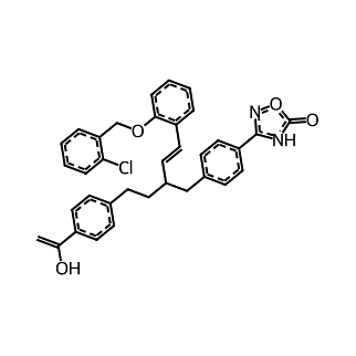 C=C(O)c1ccc(CCC(/C=C/c2ccccc2OCc2ccccc2Cl)Cc2ccc(-c3noc(=O)[nH]3)cc2)cc1